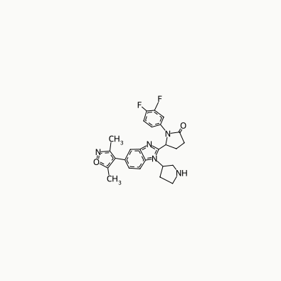 Cc1noc(C)c1-c1ccc2c(c1)nc(C1CCC(=O)N1c1ccc(F)c(F)c1)n2C1CCNC1